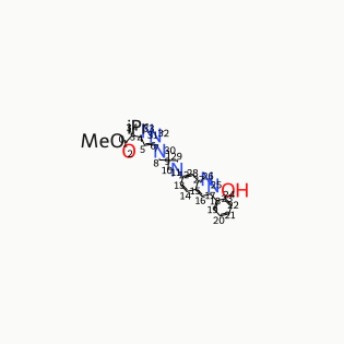 COC(=O)C(c1cc(N2CC3(CN(c4ccc5cc(-c6ccccc6O)nnc5c4)C3)C2)n(C)n1)C(C)C